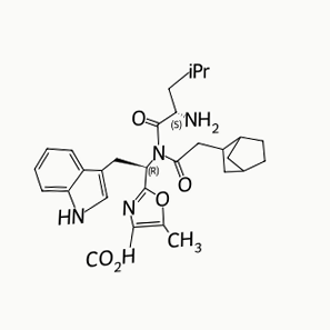 Cc1oc([C@@H](Cc2c[nH]c3ccccc23)N(C(=O)CC2CC3CCC2C3)C(=O)[C@@H](N)CC(C)C)nc1C(=O)O